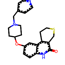 O=c1[nH]c2ccc(OC3CCN(Cc4ccncc4)CC3)cc2c2c1CSCC2